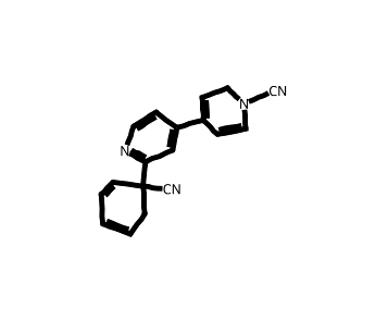 N#CN1C=CC(c2ccnc(C3(C#N)C=CC=CC3)c2)=CC1